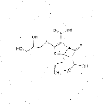 C=CC[C@]12SC(SCC(O)CO)=C(C(=O)O)N1C(=O)[C@@H]2C(C)O